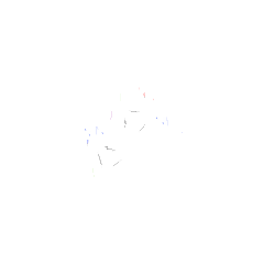 COC(=O)c1c(N)c(F)c(-c2ccc(F)c3cnn(C)c23)c(I)c1F